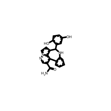 NC(=O)c1cnn2ccc3c2c1-c1ccccc1NC3c1cc(O)ccc1O